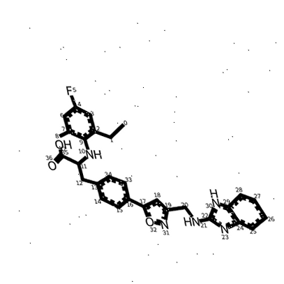 CCc1cc(F)cc(C)c1NC(Cc1ccc(-c2cc(CNc3nc4ccccc4[nH]3)no2)cc1)C(=O)O